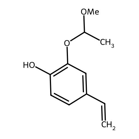 C=Cc1ccc(O)c(OC(C)OC)c1